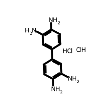 Cl.Cl.Nc1ccc(-c2ccc(N)c(N)c2)cc1N